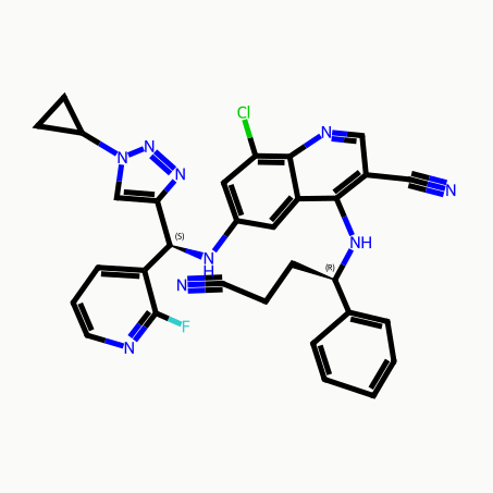 N#CCC[C@@H](Nc1c(C#N)cnc2c(Cl)cc(N[C@H](c3cn(C4CC4)nn3)c3cccnc3F)cc12)c1ccccc1